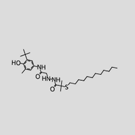 CCCCCCCCCCCCSC(C)(C)C(=O)NNCC(=O)Nc1cc(C)c(O)c(C(C)(C)C)c1